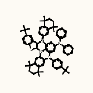 CC(C)(C)c1ccc(N2c3cc4c(cc3B3c5c2cc(N(c2ccccc2)c2ccccc2)cc5N(c2ccc5c(c2)C(C)(C)CCC5(C)C)C2c5cc(C(C)(C)C)ccc5SC32)C(C)(C)CCC4(C)C)cc1